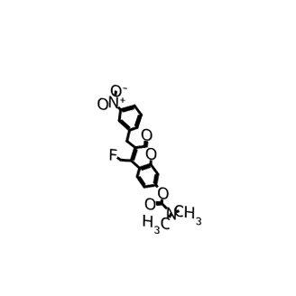 CN(C)C(=O)Oc1ccc2c(CF)c(Cc3cccc([N+](=O)[O-])c3)c(=O)oc2c1